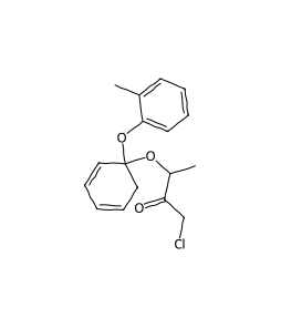 Cc1ccccc1OC1(OC(C)C(=O)CCl)C=CC=CC1